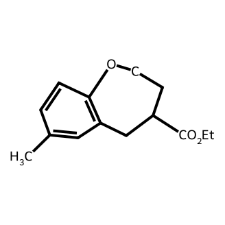 CCOC(=O)C1CCOc2ccc(C)cc2C1